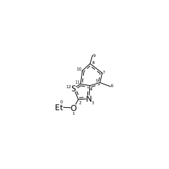 CCOc1nc2c(C)cc(C)cc2s1